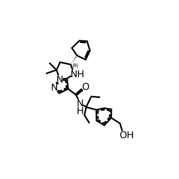 CCC(CC)(NC(=O)c1cnn2c1N[C@@H](C1C=CC=CC1)CC2(C)C)c1ccc(CO)cc1